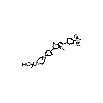 Cn1c(-c2ccc(S(C)(=O)=O)cc2)cc2ncc(-c3ccc(N4CCN(CC(C)(C)O)CC4)cc3)cc21